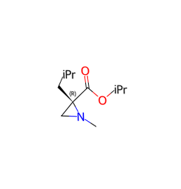 CC(C)C[C@]1(C(=O)OC(C)C)CN1C